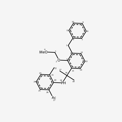 COCOc1c(Cc2ccccc2)cccc1C(C)(C)Pc1c(C)cccc1C(C)=O